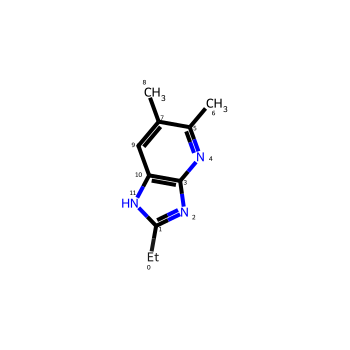 CCc1nc2nc(C)c(C)cc2[nH]1